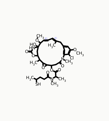 COc1cc2cc(c1Cl)N(C)C(=O)CC(OC(=O)C(C)N(C)C(=O)CCC(C)S)C1OC1C(C)C1CC(O)(NC(=O)O1)C(OC)/C=C/C=C(\C)C2